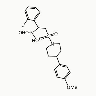 COc1ccc(C2CCN(S(=O)(=O)CC(c3ccccc3F)N(O)C=O)CC2)cc1